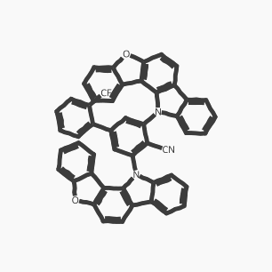 N#Cc1c(-n2c3ccccc3c3ccc4oc5ccccc5c4c32)cc(-c2ccccc2C(F)(F)F)cc1-n1c2ccccc2c2ccc3oc4ccccc4c3c21